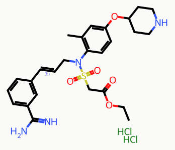 CCOC(=O)CS(=O)(=O)N(C/C=C/c1cccc(C(=N)N)c1)c1ccc(OC2CCNCC2)cc1C.Cl.Cl